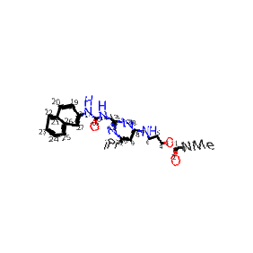 CNC(=O)OCCCNc1cc(C(C)C)nc(NC(=O)Nc2ccc3ccccc3c2)n1